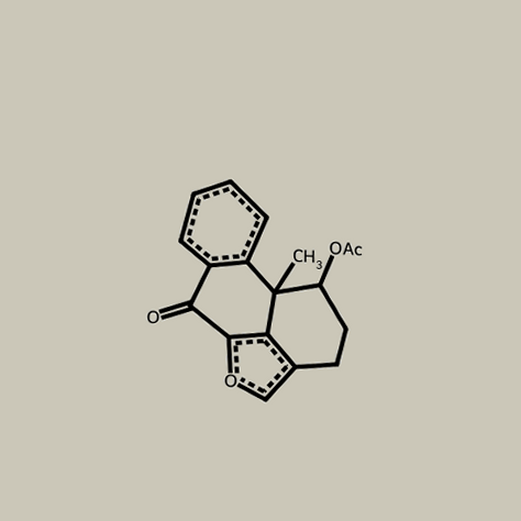 CC(=O)OC1CCc2coc3c2C1(C)c1ccccc1C3=O